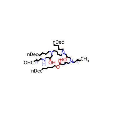 C/C=C/CN(C/C=C/C(=O)OCCCCCCCCCCCCCCC)CC(O)CN(CCCCCCCCCCCCCC)CCCCN(CCCCCCCCCCCCCC)CC(O)CNC/C=C/C=O